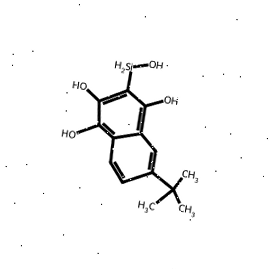 CC(C)(C)c1ccc2c(O)c(O)c([SiH2]O)c(O)c2c1